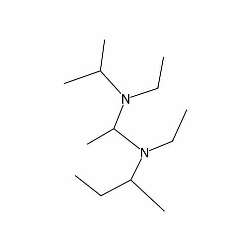 CCC(C)N(CC)C(C)N(CC)C(C)C